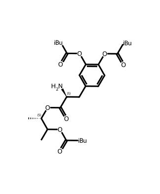 CCC(C)C(=O)Oc1ccc(C[C@H](N)C(=O)O[C@@H](C)C(C)OC(=O)C(C)CC)cc1OC(=O)C(C)CC